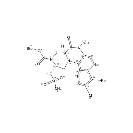 CN1C(=O)[C@@H]2CN(C(=O)OC(C)(C)C)[C@@H](CS(C)(=O)=O)CN2c2c1cnc1c(F)c(Cl)ccc21